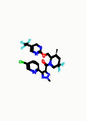 C[C@@H]1CC(F)(F)CN(C(=O)c2nn(C)nc2-c2ccc(Cl)cn2)C1COc1ncc(C(F)(F)F)cn1